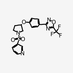 O=S(=O)(c1cccnc1)N1CCC(Oc2ccc(-c3noc(C(F)(F)F)n3)cc2)C1